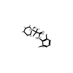 Cc1cccc(C)c1NC(=O)C(C)(C)[N+]1(C)CCCCC1